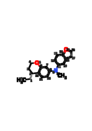 CC[C@@H]1CCOc2cc(N(C)c3ccc4occc4c3)ccc21